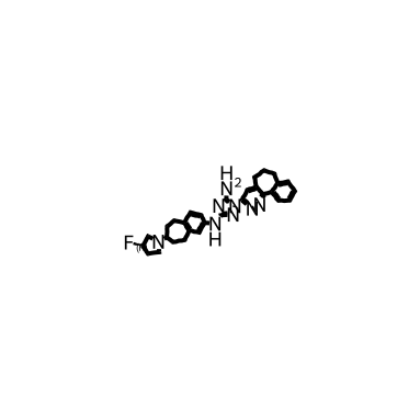 Nc1nc(Nc2ccc3c(c2)CCC(N2CC[C@@H](F)C2)CC3)nn1-c1cc2c(nn1)-c1ccccc1CCC2